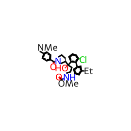 CCc1cccc(-c2c(Cl)cccc2[C@](O)(CCCNC(=O)OC)[C@@H]2CCCN(C(=O)c3ccc(CNC)cc3)C2)c1